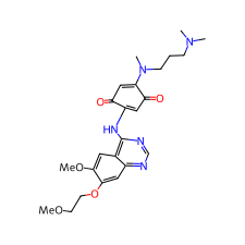 COCCOc1cc2ncnc(NC3=CC(=O)C(N(C)CCCN(C)C)=CC3=O)c2cc1OC